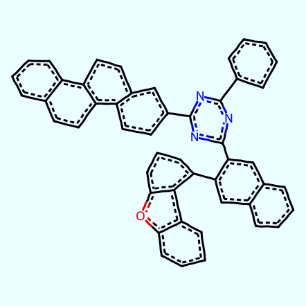 c1ccc(-c2nc(-c3ccc4c(ccc5c6ccccc6ccc45)c3)nc(-c3cc4ccccc4cc3-c3cccc4oc5ccccc5c34)n2)cc1